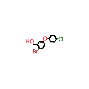 OCc1cc(Oc2ccc(Cl)cc2)ccc1Br